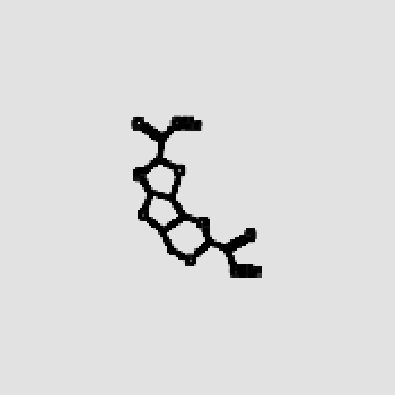 COC(=O)C1OCC2OC3OC(C(=O)OC)OC3C2O1